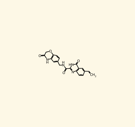 C=Cc1ccc2nc(C(=O)NCc3ccc4c(c3)NC(=O)CO4)[nH]c(=O)c2c1